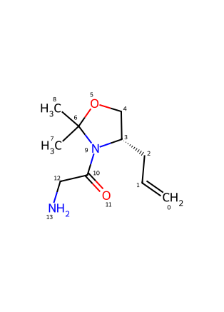 C=CC[C@H]1COC(C)(C)N1C(=O)CN